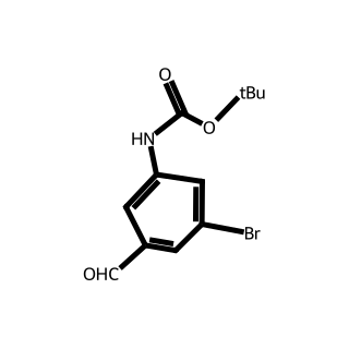 CC(C)(C)OC(=O)Nc1cc(Br)cc(C=O)c1